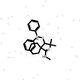 CNC(=O)C1(C(O[SiH](c2ccccc2)c2ccccc2)C(C)(C)C)CCCCC1